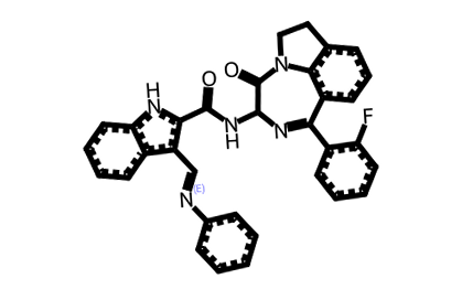 O=C(NC1N=C(c2ccccc2F)c2cccc3c2N(CC3)C1=O)c1[nH]c2ccccc2c1/C=N/c1ccccc1